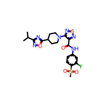 CC(C)c1noc(C2CCN(c3nsnc3C(=O)Nc3ccc(S(C)(=O)=O)c(F)c3)CC2)n1